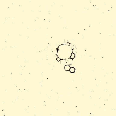 CC[C@@H]1CC/C=C/[C@H](O[C@@H](C)C(=O)O)[C@@H]2CC[C@H]2CN2C[C@@]3(CCCc4cc(Cl)ccc43)COc3ccc(cc32)C(=O)NS1(=O)=O